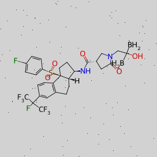 BC(B)(O)CN1C[C@@H](C(=O)N[C@@H]2CC[C@@]3(S(=O)(=O)c4ccc(F)cc4)c4ccc(C(F)(C(F)(F)F)C(F)(F)F)cc4CC[C@@H]23)CC1=O